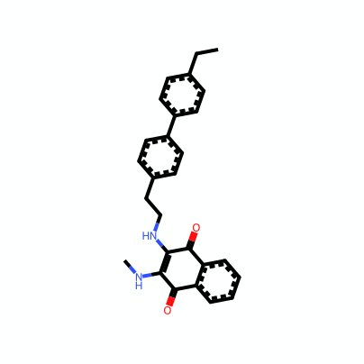 CCc1ccc(-c2ccc(CCNC3=C(NC)C(=O)c4ccccc4C3=O)cc2)cc1